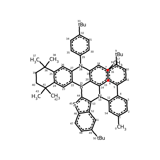 Cc1ccc(-c2ccc(C(C)(C)C)cc2)c(N2c3cc(C)cc4c3B(c3cc5c(cc3N4c3ccc(C(C)(C)C)cc3)C(C)(C)CCC5(C)C)c3sc4ccc(C(C)(C)C)cc4c32)c1